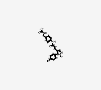 CCC(=O)NCc1ccc(NC(=O)C=Cc2cnn(C)c2-c2ccc(F)cc2)cc1